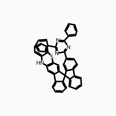 c1ccc(-c2nc(-c3ccccc3)nc(-c3ccc4c(c3)C3(c5ccccc5-4)c4ccccc4-c4cc5c(cc43)Sc3ccccc3N5)n2)cc1